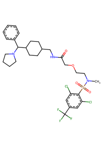 CN(CCOCC(=O)NCC1CCC(C(c2ccccc2)N2CCCC2)CC1)S(=O)(=O)c1c(Cl)cc(C(F)(F)F)cc1Cl